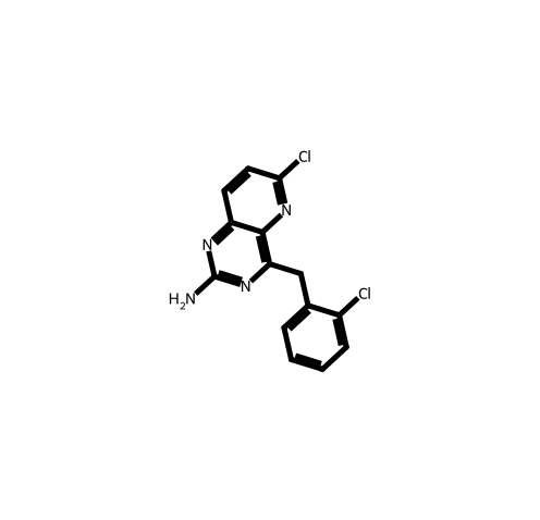 Nc1nc(Cc2ccccc2Cl)c2nc(Cl)ccc2n1